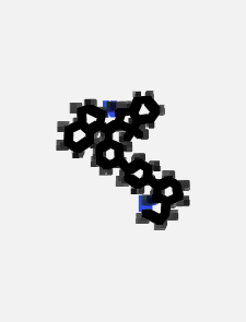 CC1(C)c2ccccc2-c2nc3ccc4ccccc4c3c(-c3cccc(-c4ccc(-c5cccc6cccnc56)cc4)c3)c21